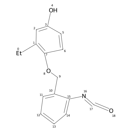 CCc1cc(O)ccc1OCc1ccccc1N=C=O